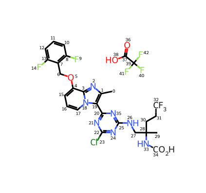 Cc1nc2c(OCc3c(F)cccc3F)cccn2c1-c1nc(Cl)nc(NCC(C)(CCC(F)(F)F)NC(=O)O)n1.O=C(O)C(F)(F)F